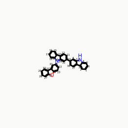 c1ccc2c(c1)[nH]c1cc(-c3ccc4c5ccccc5n(-c5ccc6oc7ccccc7c6c5)c4c3)ccc12